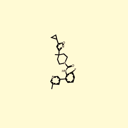 Cc1cncc(-c2cccc(F)c2NC(=O)N2CCC(C)(c3cc(C4CC4)on3)CC2)c1